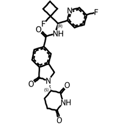 O=C1CC[C@H](N2Cc3cc(C(=O)N[C@H](c4ccc(F)cn4)C4(F)CCC4)ccc3C2=O)C(=O)N1